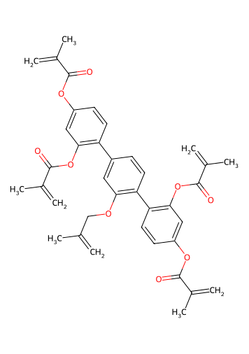 C=C(C)COc1cc(-c2ccc(OC(=O)C(=C)C)cc2OC(=O)C(=C)C)ccc1-c1ccc(OC(=O)C(=C)C)cc1OC(=O)C(=C)C